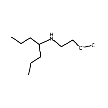 [CH2-][CH+]CCNC(CCC)CCC